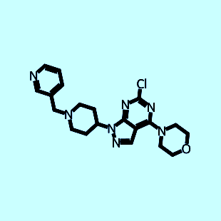 Clc1nc(N2CCOCC2)c2cnn(C3CCN(Cc4cccnc4)CC3)c2n1